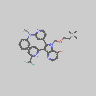 CC(=O)N(c1ccccc1)c1cc(-c2c(-c3cccc(C(F)F)n3)c3nccc(O)c3n2COCC[Si](C)(C)C)ccn1